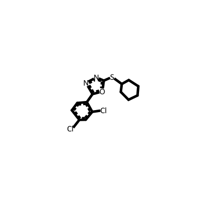 Clc1ccc(-c2nnc(SC3CCCCC3)o2)c(Cl)c1